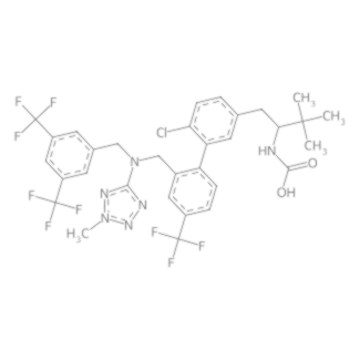 Cn1nnc(N(Cc2cc(C(F)(F)F)cc(C(F)(F)F)c2)Cc2cc(C(F)(F)F)ccc2-c2cc(CC(NC(=O)O)C(C)(C)C)ccc2Cl)n1